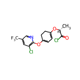 C[C@@H](OC1=CC=C(Oc2ncc(C(F)(F)F)cc2Cl)CC1)C(=O)Cl